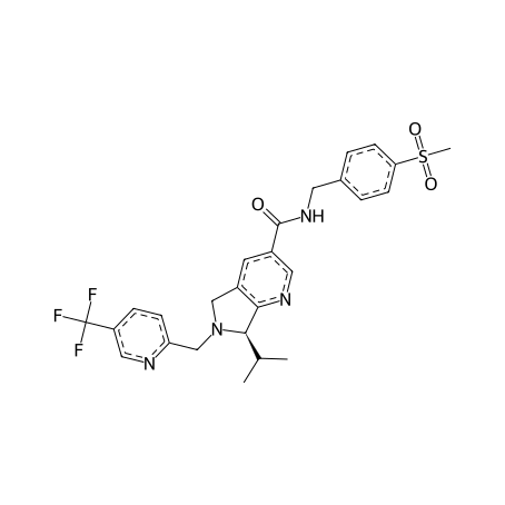 CC(C)[C@@H]1c2ncc(C(=O)NCc3ccc(S(C)(=O)=O)cc3)cc2CN1Cc1ccc(C(F)(F)F)cn1